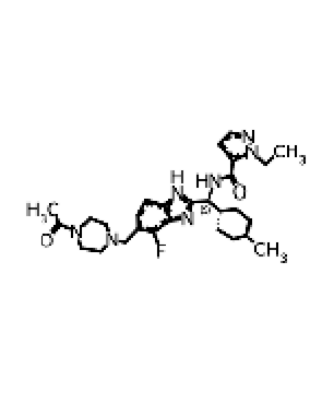 CCn1nccc1C(=O)N[C@H](c1nc2c(F)c(CN3CCN(C(C)=O)CC3)ccc2[nH]1)[C@H]1CC[C@H](C)CC1